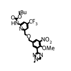 COc1c(-c2ncn(C)n2)cc(COCc2cc(C(F)(F)F)cc(NC(=O)OC(C)(C)C)n2)cc1[N+](=O)[O-]